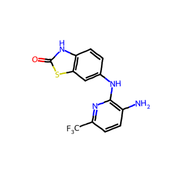 Nc1ccc(C(F)(F)F)nc1Nc1ccc2[nH]c(=O)sc2c1